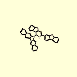 c1ccc2cc3c(cc2c1)c1cc2ccccc2cc1n3C1NC(c2ccc3c(c2)oc2ccccc23)=Nc2sc3ccccc3c21